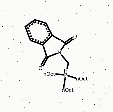 CCCCCCCC[PH](CCCCCCCC)(CCCCCCCC)CN1C(=O)c2ccccc2C1=O